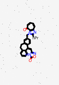 CCCc1nc2ccccc(=O)c2n1Cc1ccc2c(c1)CCc1ccccc1C2=Cc1noc(=O)[nH]1